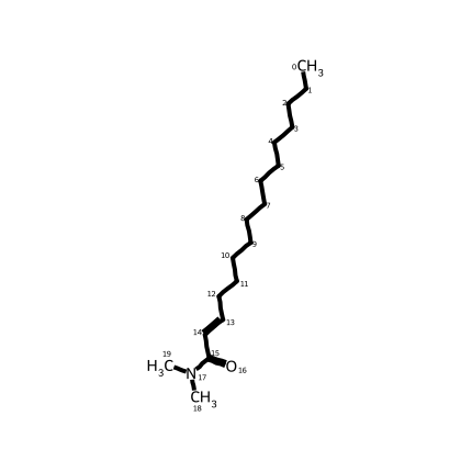 CCCCCCCCCCCCC/C=C/C(=O)N(C)C